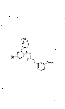 COc1cccc(SCC(F)Cn2c3ccc(C)cc3c3cc(Br)ccc32)c1